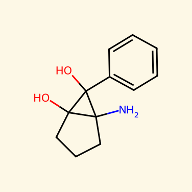 NC12CCCC1(O)C2(O)c1ccccc1